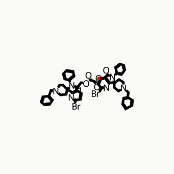 O=C(OCC(=O)N(c1ccccc1)C1(c2cccc(Br)n2)CCN(Cc2ccccc2)CC1)C(=O)OCC(=O)N(c1ccccc1)C1(c2cccc(Br)n2)CCN(Cc2ccccc2)CC1